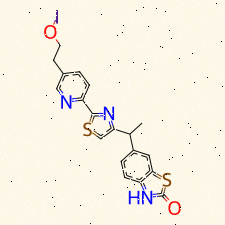 CC(c1ccc2[nH]c(=O)sc2c1)c1csc(-c2ccc(CCOI)cn2)n1